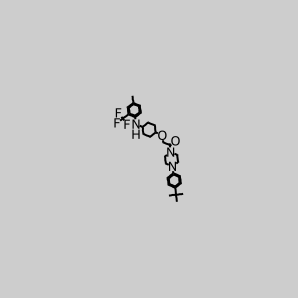 Cc1ccc(NC2CCC(OCC(=O)N3CCN(c4ccc(C(C)(C)C)cc4)CC3)CC2)c(C(F)(F)F)c1